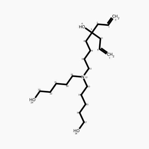 C=CCC(O)(CC=C)CCCCN(CCCCCO)CCCCCO